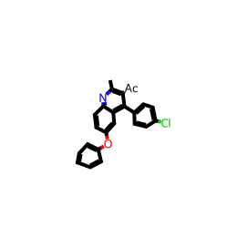 CC(=O)c1c(C)nc2ccc(Oc3ccccc3)cc2c1-c1ccc(Cl)cc1